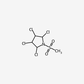 CS(=O)(=O)N1C(Cl)C(Cl)C(Cl)C1Cl